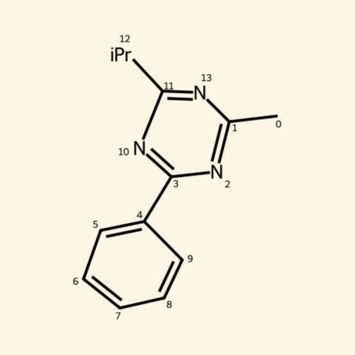 Cc1nc(-c2ccccc2)nc(C(C)C)n1